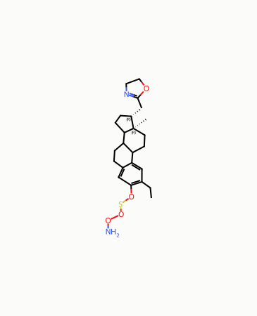 CCc1cc2c(cc1OSOON)CCC1C2CC[C@@]2(C)C1CC[C@@H]2CC1=NCCO1